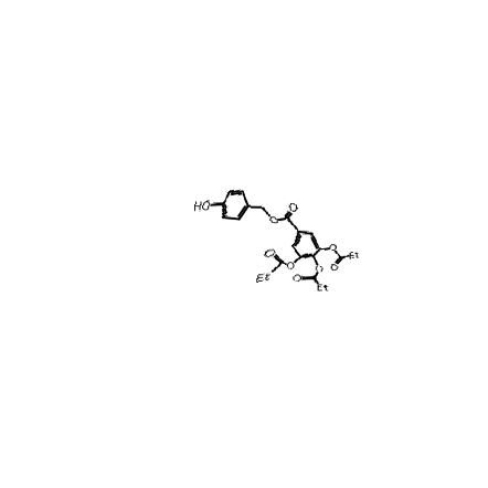 CCC(=O)Oc1cc(C(=O)OCc2ccc(O)cc2)cc(OC(=O)CC)c1OC(=O)CC